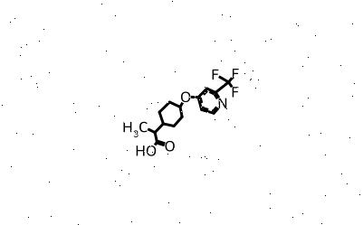 CC(C(=O)O)C1CCC(Oc2ccnc(C(F)(F)F)c2)CC1